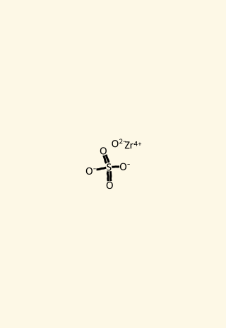 O=S(=O)([O-])[O-].[O-2].[Zr+4]